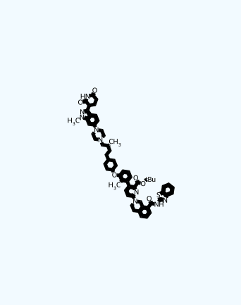 Cc1c(OC2CCC(CC[C@H](C)CN3CCN(c4ccc5c(C6CCC(=O)NC6=O)nn(C)c5c4)CC3)CC2)cccc1-c1ccc(N2CCc3cccc(C(=O)Nc4nc5ccccc5s4)c3C2)nc1C(=O)OC(C)(C)C